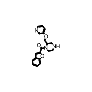 O=C(c1cc2ccccc2o1)N1CCNCC1COc1cccnc1